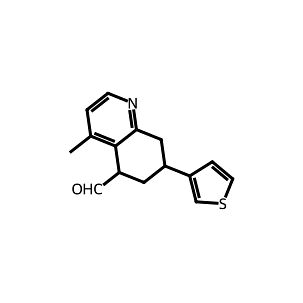 Cc1ccnc2c1C(C=O)CC(c1ccsc1)C2